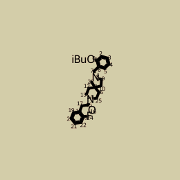 CC(C)COc1ccccc1CN1CCC2(CCN(C(=O)Cc3ccccc3F)CC2)C1